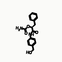 NC(=O)O[C@@H](Cc1ccccc1)C(=O)Nc1ccc(CO)cc1